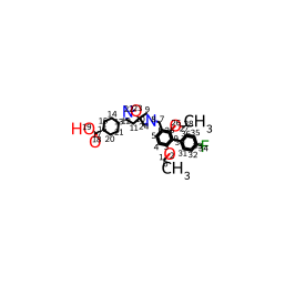 CCOc1ccc(CN2CC3(CC([C@H]4CC[C@H](C(=O)O)CC4)=NO3)C2)c(OCC)c1-c1ccc(F)cc1